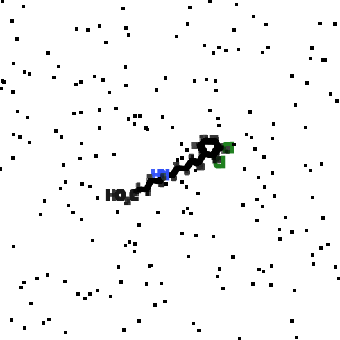 O=C(O)CCCCNCCCC=Cc1cccc(Cl)c1Cl